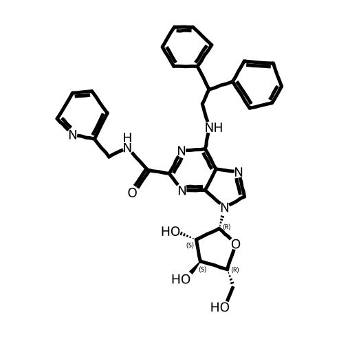 O=C(NCc1ccccn1)c1nc(NCC(c2ccccc2)c2ccccc2)c2ncn([C@@H]3O[C@H](CO)[C@@H](O)[C@@H]3O)c2n1